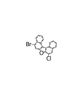 Clc1cc2ccccc2c2c1oc1cc(Br)c3ccccc3c12